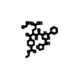 CCOC(=O)N1CCN(C(=O)C(CCC(=O)O)NC(=O)c2cc(NC3CCOC3)nc(-c3ccccc3)n2)CC1.O=CO